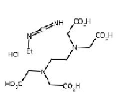 CCN=C=N.Cl.O=C(O)CN(CCN(CC(=O)O)CC(=O)O)CC(=O)O